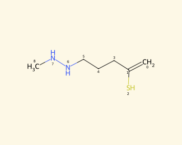 C=C(S)CCCNNC